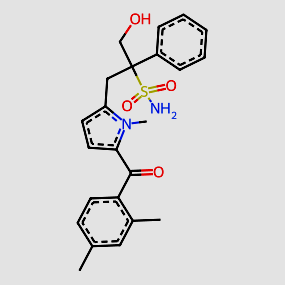 Cc1ccc(C(=O)c2ccc(CC(CO)(c3ccccc3)S(N)(=O)=O)n2C)c(C)c1